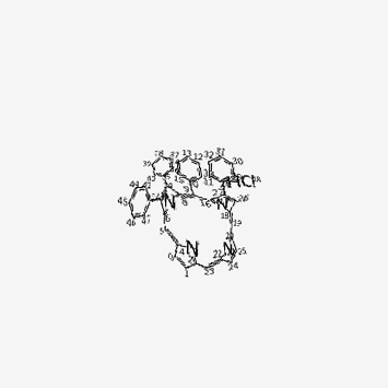 C1=CC2=NC1=CC1=NC(=C(c3ccccc3)C3=NC(=CC4=NC(=C2)C=C4)C=C3c2ccccc2)C(c2ccccc2)=C1c1ccccc1.Cl